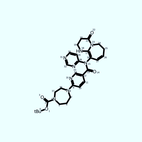 CC(C)(C)OC(=O)N1CCCN(c2ccc(C(=O)N(C3=C4NCCC(=O)N4CCC=C3)c3ccncn3)cn2)CC1